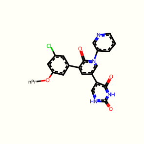 CCCOc1cc(Cl)cc(-c2cc(-c3c[nH]c(=O)[nH]c3=O)cn(-c3cccnc3)c2=O)c1